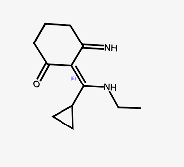 CCN/C(=C1\C(=N)CCCC1=O)C1CC1